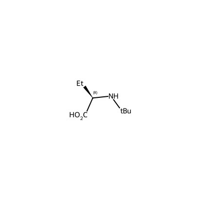 CC[C@@H](NC(C)(C)C)C(=O)O